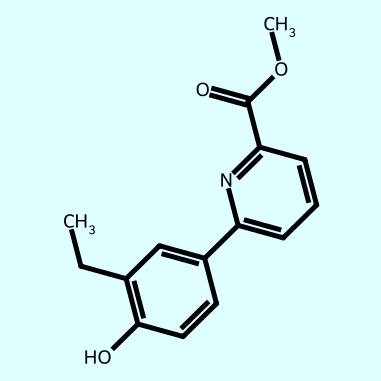 CCc1cc(-c2cccc(C(=O)OC)n2)ccc1O